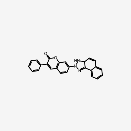 O=c1oc2cc(N3N=C4c5ccccc5C=CC4N3)ccc2cc1-c1ccccc1